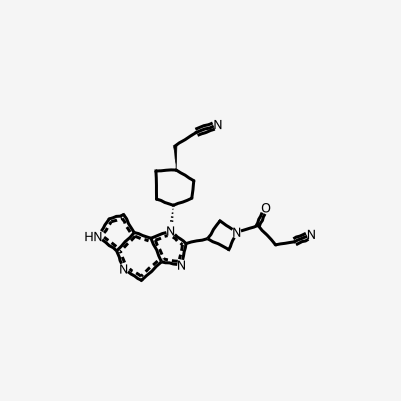 N#CCC(=O)N1CC(c2nc3cnc4[nH]ccc4c3n2[C@H]2CC[C@H](CC#N)CC2)C1